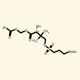 CC(=O)NCCCS(=O)(=O)OCC(C)(C)[C@@H](O)C(=O)OCOC(=O)C(C)C